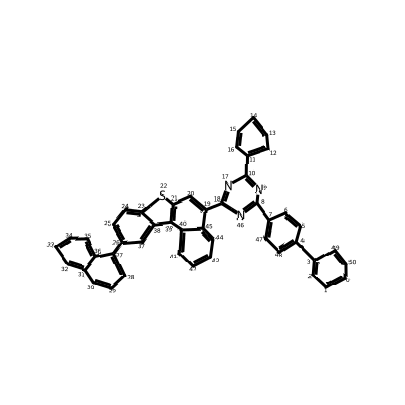 c1ccc(-c2ccc(-c3nc(-c4ccccc4)nc(-c4cc5sc6ccc(-c7cccc8ccccc78)cc6c5c5ccccc45)n3)cc2)cc1